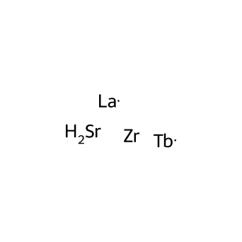 [La].[SrH2].[Tb].[Zr]